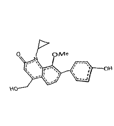 COc1c(-c2ccc(O)cc2)ccc2c(CO)cc(=O)n(C3CC3)c12